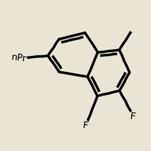 CCCc1ccc2c(C)cc(F)c(F)c2c1